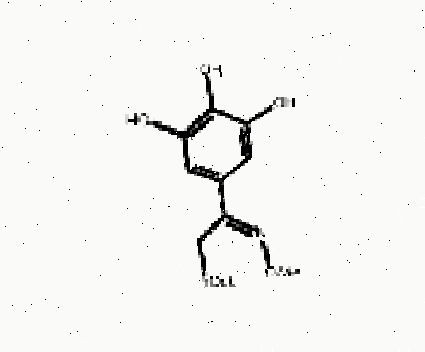 CCCCCCCCCC(=NOC)c1cc(O)c(O)c(O)c1